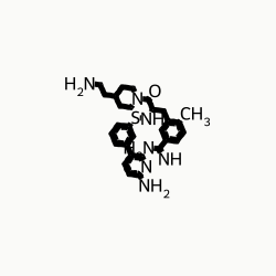 Cc1ccc(C(=N)N)cc1CC(NSc1cccc(-c2ccc(N)nc2)c1)C(=O)N1CCC(CCN)CC1